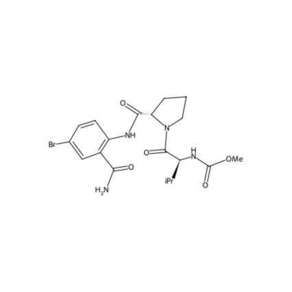 COC(=O)N[C@H](C(=O)N1CCC[C@H]1C(=O)Nc1ccc(Br)cc1C(N)=O)C(C)C